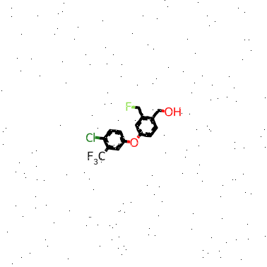 OCc1ccc(Oc2ccc(Cl)c(C(F)(F)F)c2)cc1CF